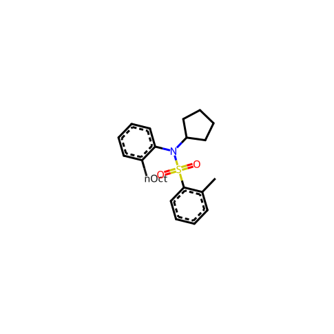 CCCCCCCCc1ccccc1N(C1CCCC1)S(=O)(=O)c1ccccc1C